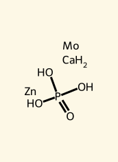 O=P(O)(O)O.[CaH2].[Mo].[Zn]